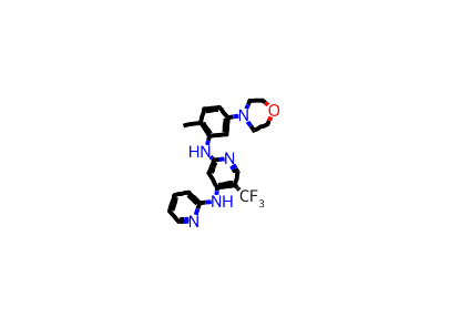 Cc1ccc(N2CCOCC2)cc1Nc1cc(Nc2ccccn2)c(C(F)(F)F)cn1